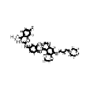 CC(NC(=O)Nc1ccc(Oc2ncnc3cc(OCCCN4CCOCC4)c4c(c23)OCCO4)c(Cl)c1)c1ccc(F)cc1